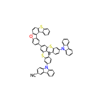 N#Cc1ccc2c(c1)c1ccccc1n2-c1ccc2c(c1)Sc1cc(-c3ccc4oc5ccc6sc7ccccc7c6c5c4c3)cc3c1B2c1ccc(-n2c4ccccc4c4ccccc42)cc1S3